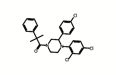 CC(C)(C(=O)N1CCN(c2ccc(Cl)cc2Cl)C(c2ccc(Cl)cc2)C1)c1ccccc1